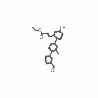 CCOC(=O)/C=C/c1cc(OC)ccc1-c1ccc(-c2cccc(C=O)c2)c(C)c1